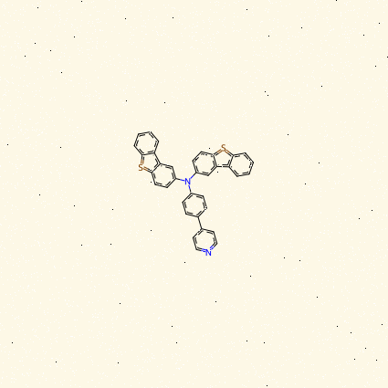 c1ccc2c(c1)sc1ccc(N(c3ccc(-c4ccncc4)cc3)c3ccc4sc5ccccc5c4c3)cc12